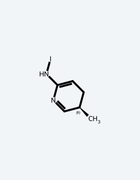 C[C@H]1C=NC(NI)=CC1